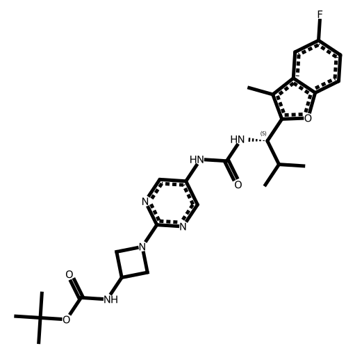 Cc1c([C@@H](NC(=O)Nc2cnc(N3CC(NC(=O)OC(C)(C)C)C3)nc2)C(C)C)oc2ccc(F)cc12